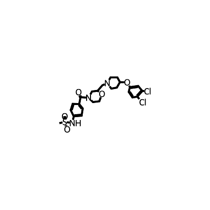 CS(=O)(=O)Nc1ccc(C(=O)N2CCOC(CN3CCC(Oc4ccc(Cl)c(Cl)c4)CC3)C2)cc1